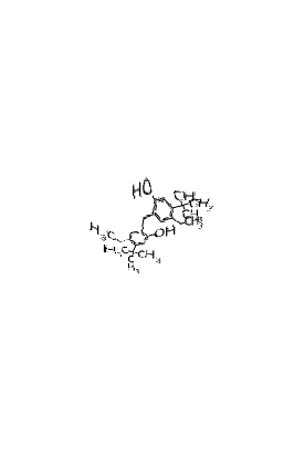 CCc1cc(Cc2cc(CC)c(C(C)(C)C)cc2O)c(O)cc1C(C)(C)C